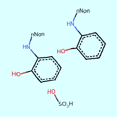 CCCCCCCCCNc1ccccc1O.CCCCCCCCCNc1ccccc1O.O=S(=O)(O)O